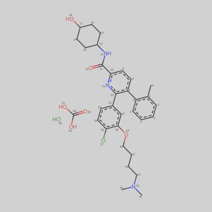 Cc1ccccc1-c1ccc(C(=O)NC2CCC(O)CC2)nc1-c1ccc(Cl)c(OCCCCN(C)C)c1.Cl.O=C(O)O